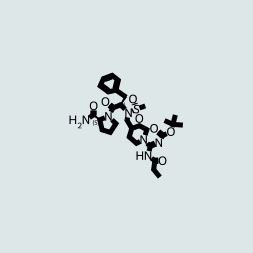 CCC(=O)NC(=NC(=O)OC(C)(C)C)N1CCC(CN([C@H](Cc2ccccc2)C(=O)N2CCC[C@H]2C(N)=O)S(C)(=O)=O)CC1